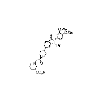 COc1ccc(-c2[nH]c3ccc(C4CCN(C(=O)CN5CCCC(C(=O)O)C5)CC4)cc3c2C(C)C)cc1OC